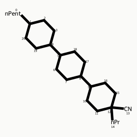 CCCCCC1CCC(C2CCC(C3CCC(C#N)(CCC)CC3)CC2)CC1